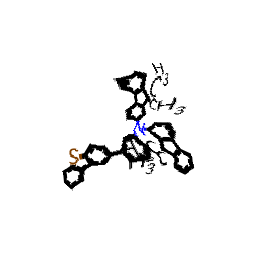 CC1(C)c2ccccc2-c2ccc(N(c3cccc(-c4ccc5sc6ccccc6c5c4)c3)c3cccc4c3C(C)(C)c3ccccc3-4)cc21